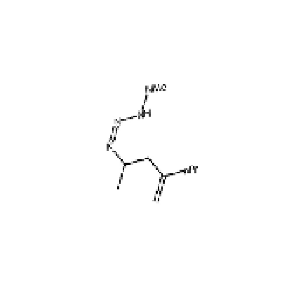 C=C(CCC)CC(C)/N=N\NNC